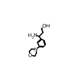 NC(CCO)c1cccc(N2CCOCC2)c1